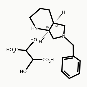 O=C(O)C(O)C(O)C(=O)O.c1ccc(CN2C[C@@H]3CCCN[C@@H]3C2)cc1